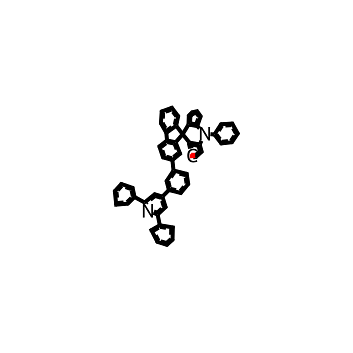 c1ccc(-c2cc(-c3cccc(-c4ccc5c(c4)C4(c6ccccc6-5)c5ccccc5N(c5ccccc5)c5ccccc54)c3)cc(-c3ccccc3)n2)cc1